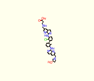 Cc1c(Nc2nccc3cc(CN4CCC(O)C4)cnc23)cccc1-c1cccc(Nc2nccc3cc(CNCCC(=O)O)cnc23)c1Cl